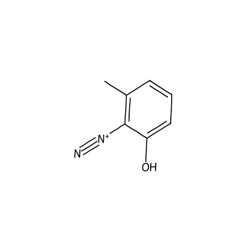 Cc1cccc(O)c1[N+]#N